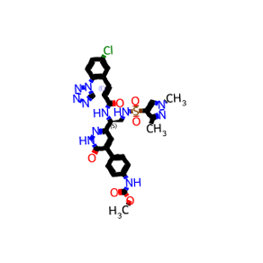 COC(=O)Nc1ccc(-c2cc([C@H](CNS(=O)(=O)c3cn(C)nc3C)NC(=O)/C=C/c3cc(Cl)ccc3-n3cnnn3)n[nH]c2=O)cc1